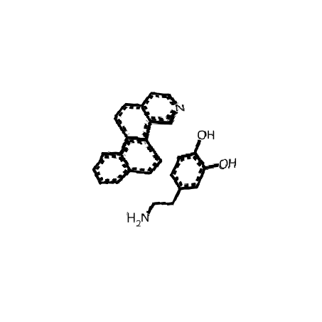 NCCc1ccc(O)c(O)c1.c1ccc2c(c1)ccc1c3cnccc3ccc21